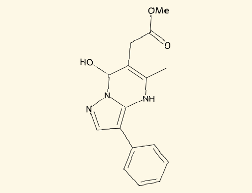 COC(=O)CC1=C(C)Nc2c(-c3ccccc3)cnn2C1O